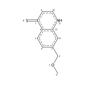 COCc1ccc2c(=S)cc[nH]c2c1